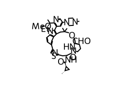 CCn1c(-c2cc(N3CCN(C)CC3)cnc2[C@H](C)OC)c2c3cc(ccc31)-c1csc(n1)C[C@H](NC(=O)[C@H]1C[C@@H]1C)C(=O)N1CCC[C@](C=O)(COCC(C)(C)C2)N1